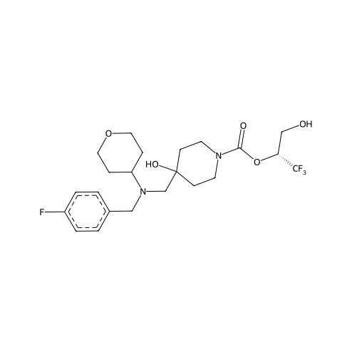 O=C(O[C@H](CO)C(F)(F)F)N1CCC(O)(CN(Cc2ccc(F)cc2)C2CCOCC2)CC1